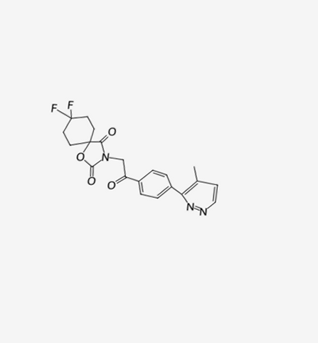 Cc1ccnnc1-c1ccc(C(=O)CN2C(=O)OC3(CCC(F)(F)CC3)C2=O)cc1